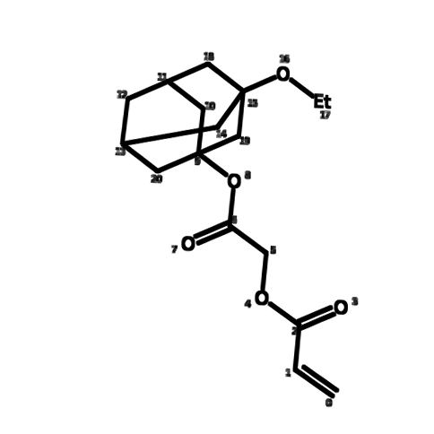 C=CC(=O)OCC(=O)OC12CC3CC(CC(OCC)(C3)C1)C2